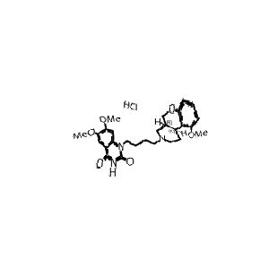 COc1cc2c(=O)[nH]c(=O)n(CCCCN3CC[C@@H]4c5c(OC)cccc5OC[C@H]4C3)c2cc1OC.Cl